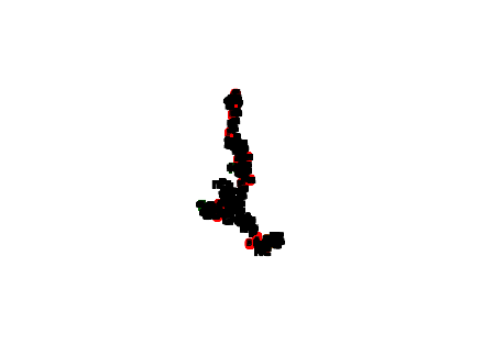 [C-]#[N+]C(C(=O)OCCc1ccc(CCC(CCCCCOC(=O)c2ccc(OC(=O)c3ccc4cc(OCCCOCC5CCC6OC6C5)ccc4c3)c(F)c2)(CC/C(C#N)=C2/Oc3ccc(F)cc3S2)COC(=O)c2ccc(CCC)cc2)cc1)=C1Sc2ccccc2S1